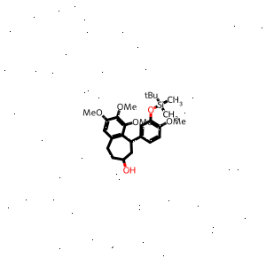 COc1ccc(C2CC(O)CCc3cc(OC)c(OC)c(OC)c32)cc1O[Si](C)(C)C(C)(C)C